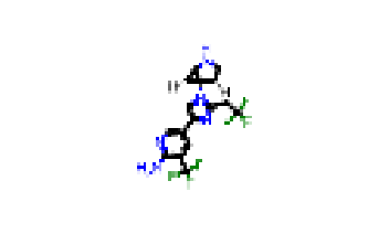 Nc1ncc(-c2cn([C@]34C5NC[C@@H]3[C@H]54)c(CC(F)(F)F)n2)cc1C(F)(F)F